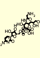 NCC(=O)N[C@H]1C(C[C@H](O)CO)O[C@](OP(=O)(O)OC[C@H]2O[C@@H](n3ccc(N)nc3=O)[C@@H](O)C2O)(C(=O)O)C[C@H]1O